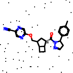 Cc1ccc(C2CC=NN2C(=O)[C@H]2CC(COc3cnc(C#N)cn3)C3CCC32)cc1